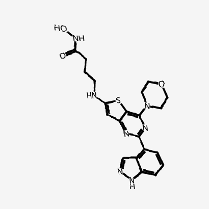 O=C(CCCNc1cc2nc(-c3cccc4[nH]ncc34)nc(N3CCOCC3)c2s1)NO